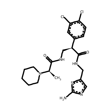 C[C@H](C(=O)NC[C@H](C(=O)NCc1cnc(N)s1)c1ccc(Cl)c(Cl)c1)N1CCCCC1